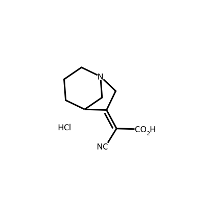 Cl.N#CC(C(=O)O)=C1CN2CCCC1C2